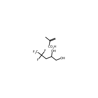 C=C(C)C(=O)O.OCC(O)CC(F)(F)C(F)(F)F